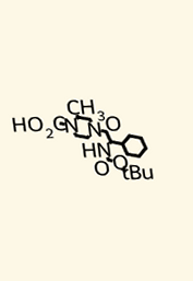 CC1CN(C(=O)C(NC(=O)OC(C)(C)C)C2CCCCC2)CCN1C(=O)O